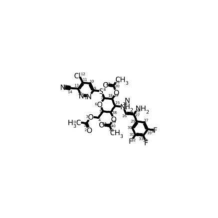 CC(=O)OCC1OC(Sc2cc(Cl)c(C#N)nn2)C(OC(C)=O)C(N(N)/C=C(\N)c2cc(F)c(F)c(F)c2)C1OC(C)=O